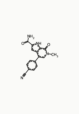 Cn1cc(-c2ccc(C#N)cc2)c2cc(C(N)=O)[nH]c2c1=O